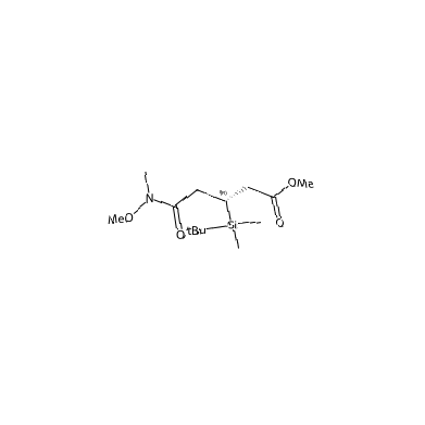 COC(=O)C[C@@H](CC(=O)N(C)OC)[Si](C)(C)C(C)(C)C